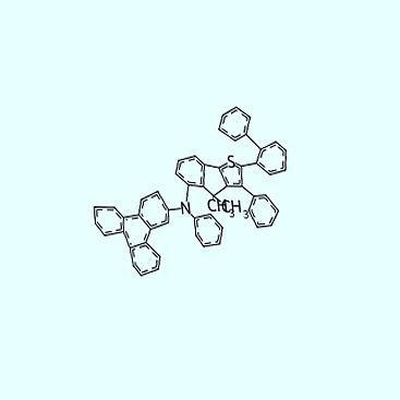 CC1(C)c2c(cccc2N(c2ccccc2)c2ccc3c4ccccc4c4ccccc4c3c2)-c2sc(-c3ccccc3-c3ccccc3)c(-c3ccccc3)c21